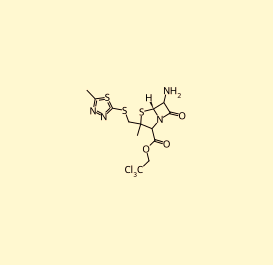 Cc1nnc(SCC2(C)S[C@@H]3C(N)C(=O)N3C2C(=O)OCC(Cl)(Cl)Cl)s1